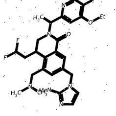 CCOc1cc(C(C)N2CC(CC(F)F)c3c(CN(C)C)cc(Cn4ccnc4NC)cc3C2=O)ncc1F